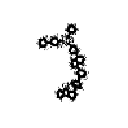 CC1(C)c2ccccc2-c2cccc(-c3ccc(-c4cccc(-c5cccc6c(-c7ccc(C8N=C(c9ccccc9)N=C(c9ccc(-c%10ccccc%10)cc9)N8)cc7)cccc56)c4)cc3)c21